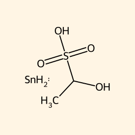 CC(O)S(=O)(=O)O.[SnH2]